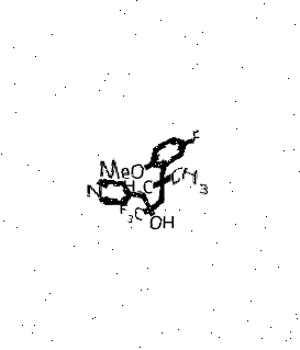 COc1ccc(F)cc1C(C)(C)CC(O)(Cc1ccncc1)C(F)(F)F